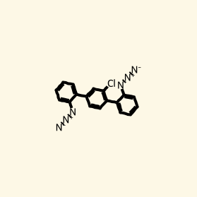 [N-]=[N+]=Nc1ccccc1-c1ccc(-c2ccccc2N=[N+]=[N-])c(Cl)c1